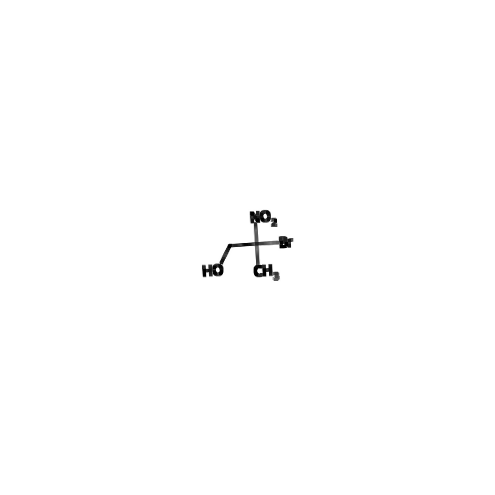 CC(Br)(CO)[N+](=O)[O-]